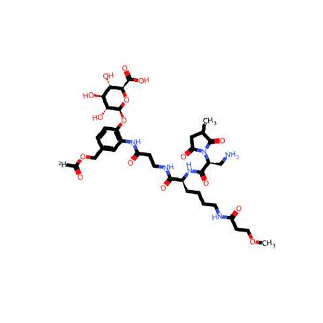 [2H]C(=O)OCc1ccc(O[C@@H]2O[C@H](C(=O)O)[C@@H](O)[C@H](O)[C@H]2O)c(NC(=O)CCNC(=O)[C@H](CCCCNC(=O)CCOC)NC(=O)[C@H](CN)N2C(=O)CC(C)C2=O)c1